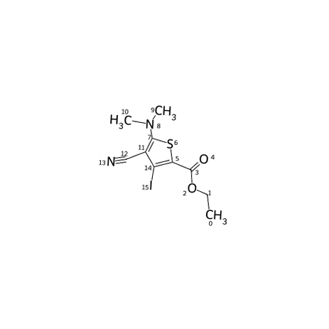 CCOC(=O)c1sc(N(C)C)c(C#N)c1I